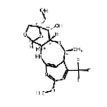 COC1=NC2=CC(C(C(F)(F)F)=C1)[C@H](C)O[C@@H]1[C@@H](N2)[C@H]2OC[C@](CO)(O2)[C@@H]1O